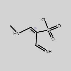 CN/C=C(\C=N)S(=O)(=O)Cl